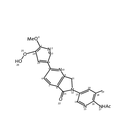 COc1ncc(-c2ccc3c(n2)CN(c2cnc(NC(C)=O)c(C)c2)C3=O)cc1OO